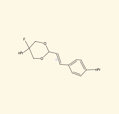 CCCc1ccc(/C=C/C2OCC(F)(CCC)CO2)cc1